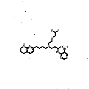 O=C(O)C(CCN(CCCCc1ccc2c(n1)NCCC2)CCOCC(F)F)Nc1ncncc1Br